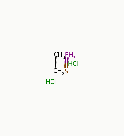 CC.Cl.Cl.[PH3]=S